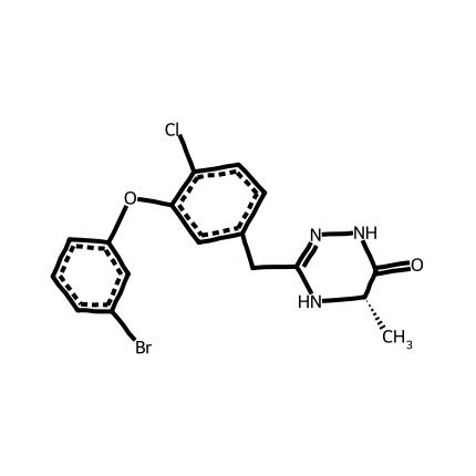 C[C@@H]1NC(Cc2ccc(Cl)c(Oc3cccc(Br)c3)c2)=NNC1=O